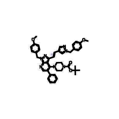 COc1ccc(Cn2cc(/C=C/c3nn(Cc4ccc(OC)cc4)c4ncc(-c5ccccc5)c(N5CCN(C(=O)OC(C)(C)C)CC5)c34)cn2)cc1